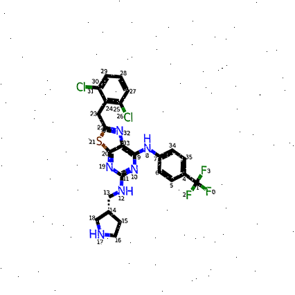 FC(F)(F)c1ccc(Nc2nc(NC[C@@H]3CCNC3)nc3sc(Cc4c(Cl)cccc4Cl)nc23)cc1